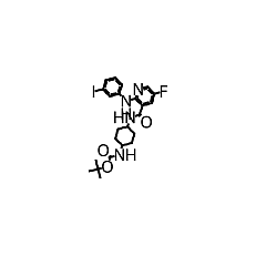 CC(C)(C)OC(=O)NC1CCC(NC(=O)c2cc(F)cnc2Nc2cccc(I)c2)CC1